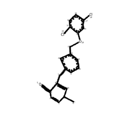 [CH2]C1C=CC(=O)C(Cc2cccc(COc3cc(Cl)ccc3Cl)c2)=C1